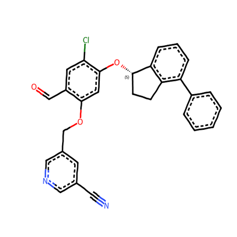 N#Cc1cncc(COc2cc(O[C@H]3CCc4c(-c5ccccc5)cccc43)c(Cl)cc2C=O)c1